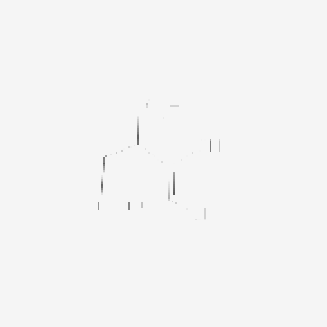 CC=C(C)C(CCCCCC)C(=O)O